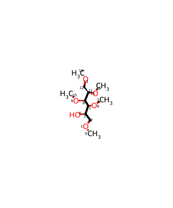 COC[C@@H](O)[C@H](OC)[C@@H](OC)[C@@H](COC)OC